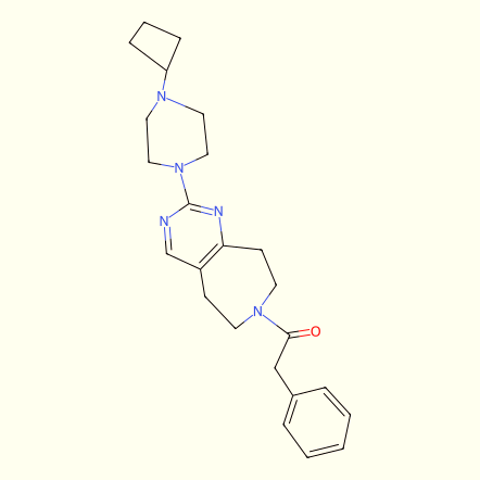 O=C(Cc1ccccc1)N1CCc2cnc(N3CCN(C4CCC4)CC3)nc2CC1